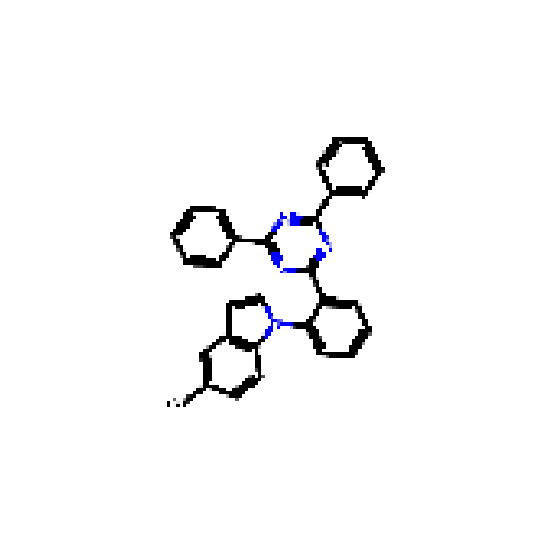 CC(C)(C)c1ccc2c(ccn2-c2ccccc2-c2nc(-c3ccccc3)nc(-c3ccccc3)n2)c1